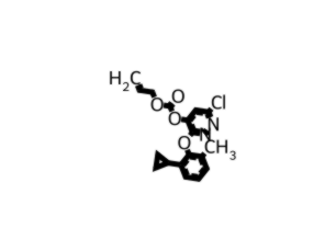 C=CCOC(=O)Oc1cc(Cl)nnc1Oc1c(C)cccc1C1CC1